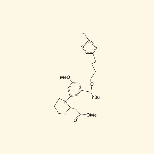 CCCCC(OCCCCc1ccc(F)cc1)c1cc(OC)cc(N2CCCCC2CC(=O)OC)c1